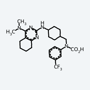 CN(C)c1nc(NC2CCC(CN(C(=O)O)c3cccc(C(F)(F)F)c3)CC2)nc2c1CCCC2